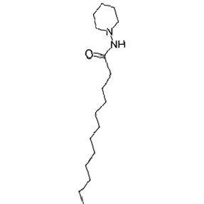 CCCCCCCCCCCC(=O)NN1CCCCC1